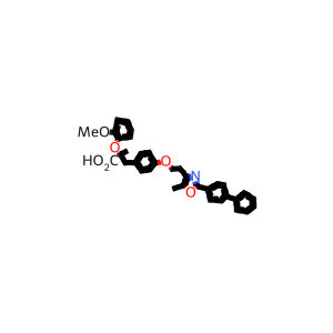 COc1ccccc1OC(C)(Cc1ccc(OCCc2nc(-c3ccc(-c4ccccc4)cc3)oc2C)cc1)C(=O)O